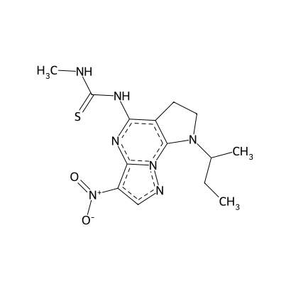 CCC(C)N1CCc2c(NC(=S)NC)nc3c([N+](=O)[O-])cnn3c21